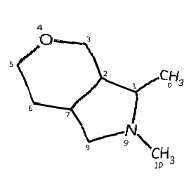 CC1C2COCCC2CN1C